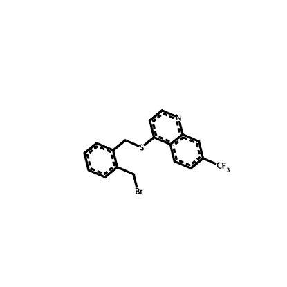 FC(F)(F)c1ccc2c(SCc3ccccc3CBr)ccnc2c1